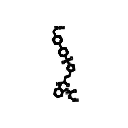 CC(=O)NCc1ccc(-c2ccc(S(=O)(=O)n3ccc(C=CC(=O)Nc4ccccc4NC(=O)OC(C)(C)C)c3)cc2)cc1